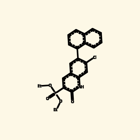 CCOP(=O)(OCC)c1cc2cc(-c3cccc4ccccc34)c(Cl)cc2[nH]c1=O